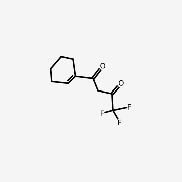 O=C(CC(=O)C(F)(F)F)C1=CCCCC1